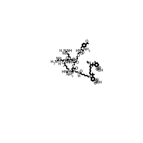 CC\N=C(/C=C/C=C/C=C1/N(CCCCCC(=O)NCCN2C(=O)CC(SC[C@@H](NC(=O)[C@@H](CCCNC(=N)N)NC(=O)[C@@H](CCCNC(=N)N)NC(=O)[C@H](C)CCCNC(=N)N)C(=O)NCCOCC(=O)N[C@@H](Cc3ccc(C(C)=O)cc3)C(N)=O)C2=O)c2ccc(S(=O)(=O)O)cc2C1(C)C)C(C)(C)c1cc(S(=O)(=O)O)ccc1C